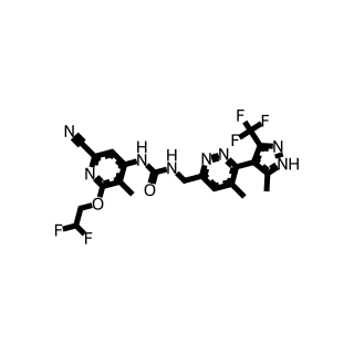 Cc1cc(CNC(=O)Nc2cc(C#N)nc(OCC(F)F)c2C)nnc1-c1c(C(F)(F)F)n[nH]c1C